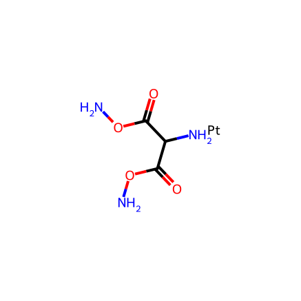 NOC(=O)C(N)C(=O)ON.[Pt]